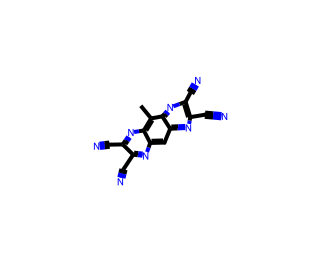 Cc1c2nc(C#N)c(C#N)nc2cc2nc(C#N)c(C#N)nc12